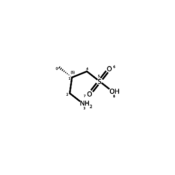 C[C@@H](CN)CS(=O)(=O)O